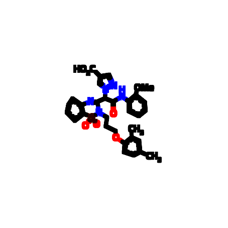 COc1ccccc1NC(=O)C(C1=Nc2ccccc2S(=O)(=O)N1CCCOc1ccc(C)cc1C)n1cc(C(=O)O)cn1